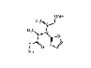 COC[C@H](C)[C@@H](c1ccco1)N(C)C(=O)OC(C)(C)C